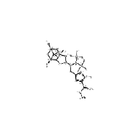 Cn1nc(C[C@@H](B2OC3[C@@H]4C[C@H](C[C@]3(C)O2)C4(C)C)N([Si](C)(C)C)[Si](C)(C)C)cc1C(=O)OC(C)(C)C